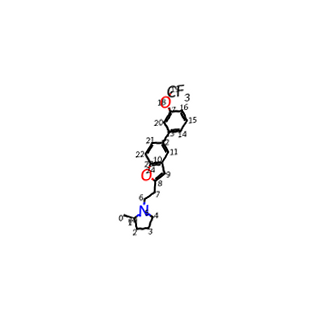 C[C@@H]1CCCN1CCc1cc2cc(-c3cccc(OC(F)(F)F)c3)ccc2o1